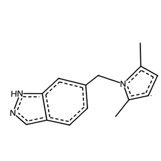 Cc1[c]cc(C)n1Cc1ccc2cn[nH]c2c1